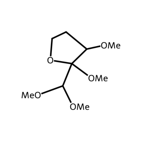 COC1CCOC1(OC)C(OC)OC